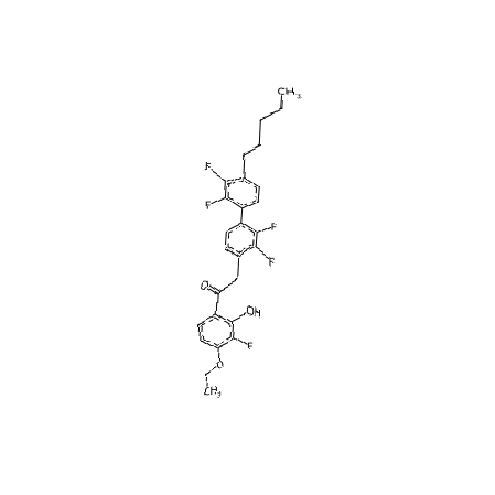 CCCCCc1ccc(-c2ccc(CC(=O)c3ccc(OCC)c(F)c3O)c(F)c2F)c(F)c1F